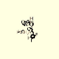 Cl.Cl.N[C@@H](CC(=O)N1CCNC(=O)[C@H]1CN1CCOCC1)Cc1cc(F)c(F)cc1F